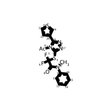 CC(=O)n1c(SC(F)(F)C(=O)N(C)c2ccccc2)nnc1-c1ccsc1